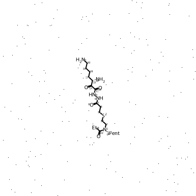 CCC[C@@H](C)N(CCSCCC(=O)NNC(=O)C(=O)[C@@H](N)CCCCN)C(=O)CC